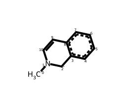 CN1[CH]c2ccccc2C=C1